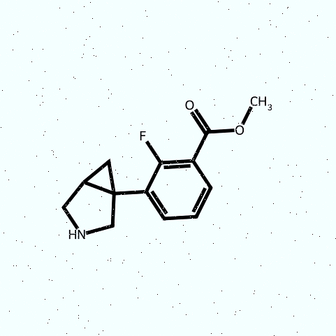 COC(=O)c1cccc(C23CNCC2C3)c1F